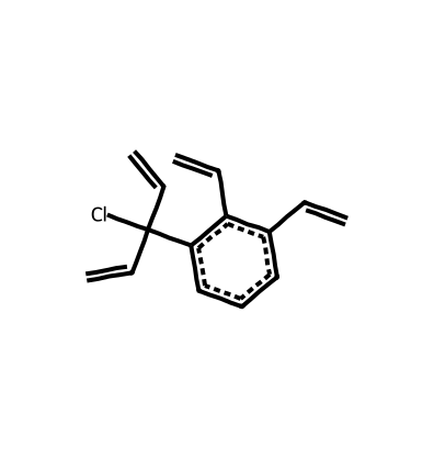 C=Cc1cccc(C(Cl)(C=C)C=C)c1C=C